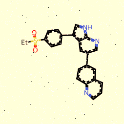 CCS(=O)(=O)c1ccc(-c2c[nH]c3ncc(-c4ccc5ncccc5c4)cc23)cc1